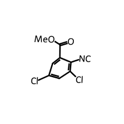 [C-]#[N+]c1c(Cl)cc(Cl)cc1C(=O)OC